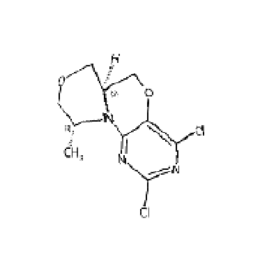 C[C@@H]1COC[C@H]2COc3c(Cl)nc(Cl)nc3N21